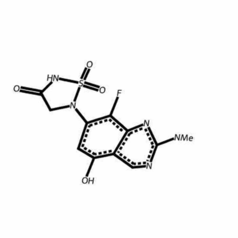 CNc1ncc2c(O)cc(N3CC(=O)NS3(=O)=O)c(F)c2n1